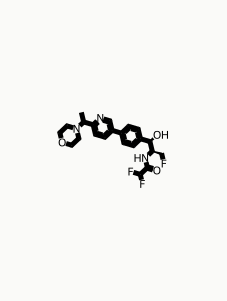 CC(c1ccc(-c2ccc([C@@H](O)[C@@H](CF)NC(=O)C(F)F)cc2)cn1)N1CCOCC1